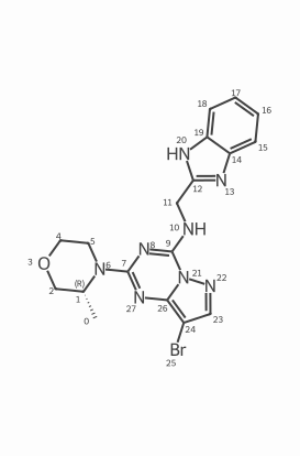 C[C@@H]1COCCN1c1nc(NCc2nc3ccccc3[nH]2)n2ncc(Br)c2n1